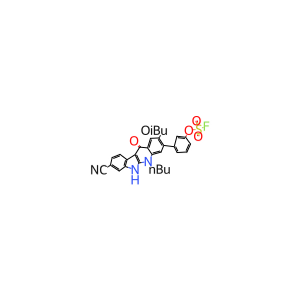 CCCCn1c2cc(-c3cccc(OS(=O)(=O)F)c3)c(OCC(C)C)cc2c(=O)c2c3ccc(C#N)cc3[nH]c21